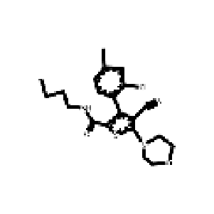 CCCCNC(=O)c1sc(N2CCOCC2)c(C#N)c1-c1ccc(C)cc1Cl